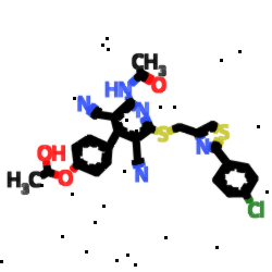 CC(=O)Nc1nc(SCc2csc(-c3ccc(Cl)cc3)n2)c(C#N)c(-c2ccc(OC(C)O)cc2)c1C#N